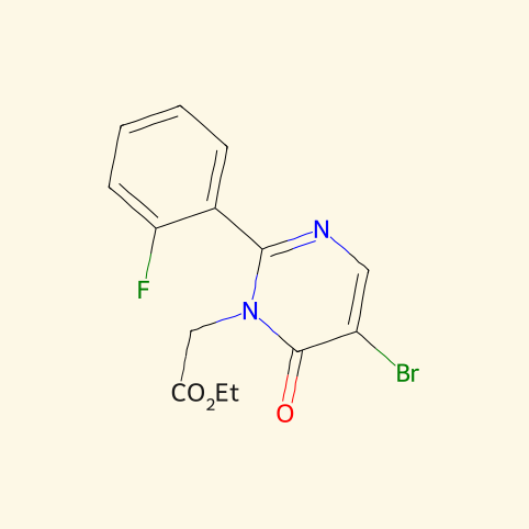 CCOC(=O)Cn1c(-c2ccccc2F)ncc(Br)c1=O